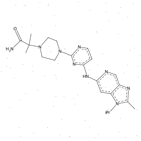 Cc1nc2cnc(Nc3ccnc(N4CCN(C(C)(C)C(N)=O)CC4)n3)cc2n1C(C)C